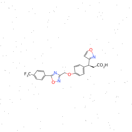 O=C(O)C[C@@H](c1ccc(OCc2noc(-c3ccc(C(F)(F)F)cc3)n2)cc1)c1ccon1